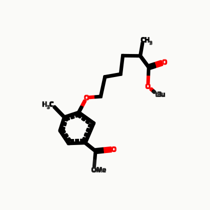 COC(=O)c1ccc(C)c(OCCCCC(C)C(=O)OC(C)(C)C)c1